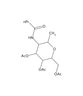 CCCC(=O)NC1C(C)OC(COC(C)=O)C(OC(C)=O)C1OC(C)=O